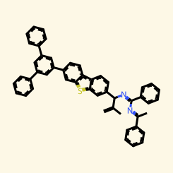 C=C(C)C(/N=C(\N=C(/C)c1ccccc1)c1ccccc1)c1ccc2c(c1)sc1cc(-c3cc(-c4ccccc4)cc(-c4ccccc4)c3)ccc12